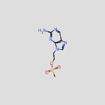 CS(=O)(=O)OCCn1cnc2cnc(N)nc21